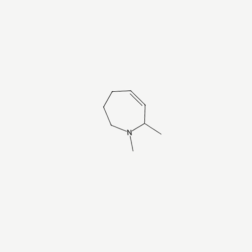 CC1C=CCCCN1C